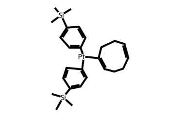 C[Si](C)(C)c1cc[c]([Pt]([C]2=CCCC=CCC2)[c]2ccc([Si](C)(C)C)cc2)cc1